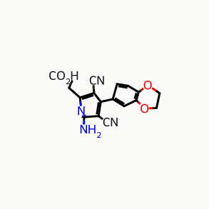 N#Cc1c(N)nc(CC(=O)O)c(C#N)c1-c1ccc2c(c1)OCCO2